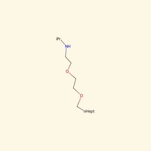 CCCCCCCCOCCOCCNC(C)C